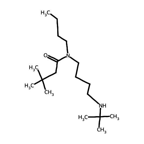 CCCCN(CCCCNC(C)(C)C)C(=O)CC(C)(C)C